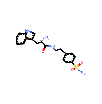 N[C@@H](Cc1c[nH]c2ccccc12)C(=O)NCCc1ccc(S(N)(=O)=O)cc1